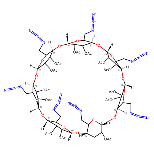 CC(=O)OC1C[C@@H]2O[C@H]3OC(CN=[N+]=[N-])[C@@H](O[C@H]4CC(CN=[N+]=[N-])[C@@H](O[C@H]5OC(CN=[N+]=[N-])[C@@H](O[C@@H]6OC(CN=[N+]=[N-])[C@@H](O[C@@H]7OC(CN=[N+]=[N-])[C@@H](O[C@@H]8OC(CN=[N+]=[N-])[C@@H](O[C@H]1OC2CN=[N+]=[N-])C(OC(C)=O)C8OC(C)=O)C(OC(C)=O)C7OC(C)=O)C(OC(C)=O)C6OC(C)=O)C(OC(C)=O)C5OC(C)=O)C(OC(C)=O)C4OC(C)=O)C(OC(C)=O)C3OC(C)=O